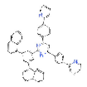 C1=CC2C=CC=C(C3=CC(c4nc(-c5ccc(-c6ccccn6)cc5)cc(-c5ccc(-c6ccccn6)cc5)n4)=CC(c4cccc5ccccc45)C3)C2C=C1